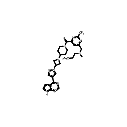 COCCN(C)Cc1cc(C(=O)N2CCC(N3C[C](n4cc(-c5ncnc6[nH]ccc56)cn4)C3)CC2)nc(C(F)(F)F)n1